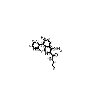 CCCNC(=O)c1ncc2c(-c3nccnc3C)c(F)ccc2c1N